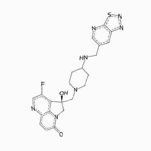 O=c1ccc2ncc(F)c3c2n1C[C@@]3(O)CN1CCC(NCc2cnc3snnc3c2)CC1